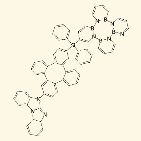 C1=CB2N(C=C1)B1C=CC([Si](c3ccccc3)(c3ccccc3)c3ccc4c(c3)-c3ccccc3-c3ccc(N5C6=NC7C=CC=CC7N6c6ccccc65)cc3-c3ccccc3-4)=CN1B1C=CC=CN1B1N=CC=CN21